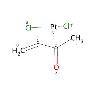 C=CC(C)=O.[Cl][Pt][Cl]